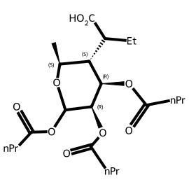 CCCC(=O)OC1O[C@@H](C)[C@H](C(CC)C(=O)O)[C@@H](OC(=O)CCC)[C@H]1OC(=O)CCC